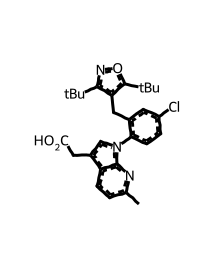 Cc1ccc2c(CC(=O)O)cn(-c3ccc(Cl)cc3Cc3c(C(C)(C)C)noc3C(C)(C)C)c2n1